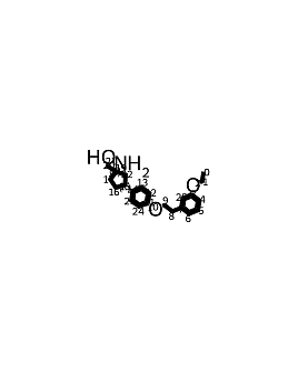 CCOc1cccc(CCOc2ccc([C@@H]3CC[C@](N)(CO)C3)cc2)c1